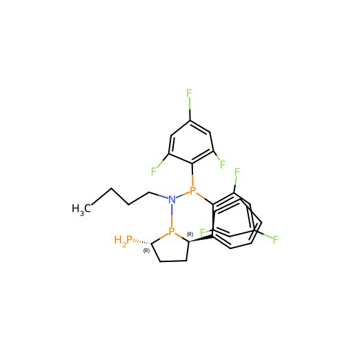 CCCCN(P(c1c(F)cc(F)cc1F)c1c(F)cc(F)cc1F)P1[C@@H](c2ccccc2)CC[C@@H]1P